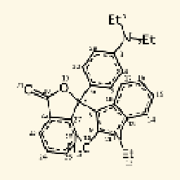 CCN(CC)c1ccc(C2(c3c(C)n(CC)c4ccccc34)OC(=O)c3cccnc32)cc1